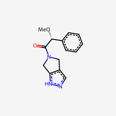 CO[C@@H](C(=O)N1Cc2cn[nH]c2C1)c1ccccc1